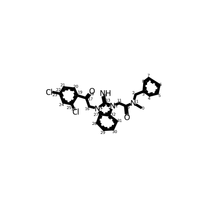 CN(Cc1ccccc1)C(=O)Cn1c(=N)n(CC(=O)c2ccc(Cl)cc2Cl)c2ccccc21